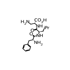 CC(C)C[C@@H](NC(=O)[C@H](N)Cc1ccccc1)C(=O)N[C@H](CN)C(=O)O